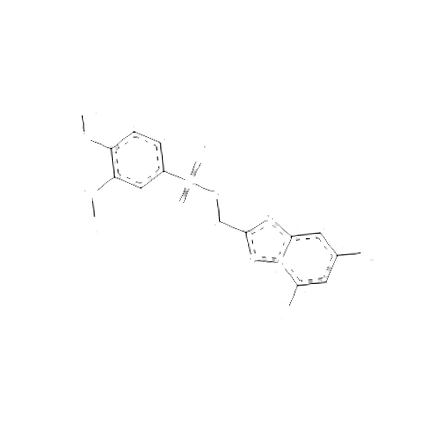 COc1ccc(S(=O)(=O)NCc2nc3cc(C)cc(C)n3n2)cc1OC